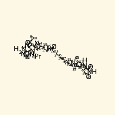 CC(C)n1nc(-c2noc(C3CC3)c2-c2ncc(C3CCN(C(=O)CCCCCCCN4CCN(c5c(F)cc(N[C@H]6CCC(=O)NC6=O)cc5F)CC4)CC3)cn2)c2c(N)ncnc21